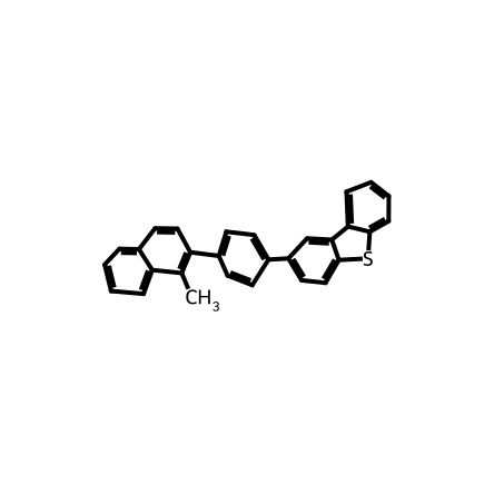 Cc1c(-c2ccc(-c3ccc4sc5ccccc5c4c3)cc2)ccc2ccccc12